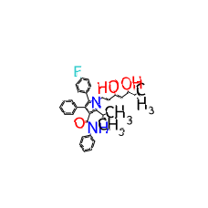 CCC(O)CC(O)CCn1c(-c2ccc(F)cc2)c(-c2ccccc2)c(C(=O)Nc2ccccc2)c1C(C)C